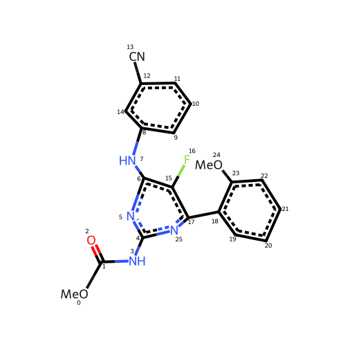 COC(=O)Nc1nc(Nc2cccc(C#N)c2)c(F)c(-c2ccccc2OC)n1